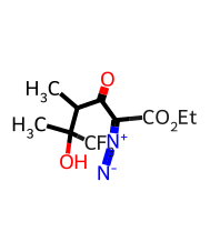 CCOC(=O)C(=[N+]=[N-])C(=O)C(C)C(C)(O)C(F)(F)F